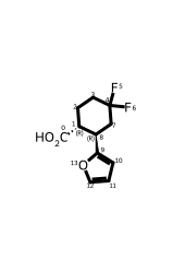 O=C(O)[C@@H]1CCC(F)(F)C[C@H]1c1ccco1